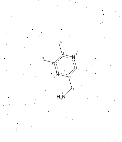 Cc1ncc(CN)nc1C